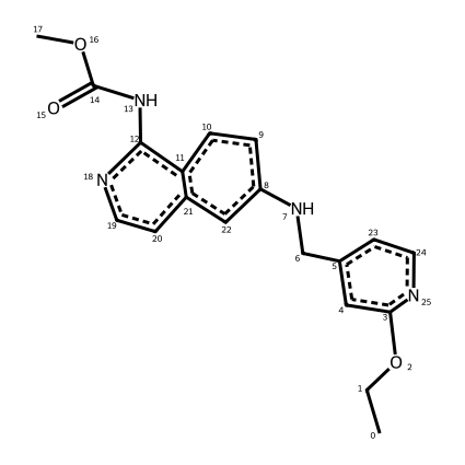 CCOc1cc(CNc2ccc3c(NC(=O)OC)nccc3c2)ccn1